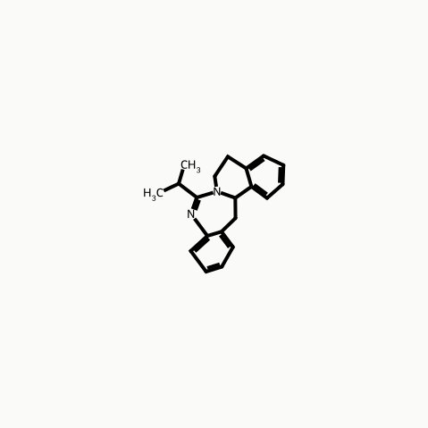 CC(C)C1=Nc2ccccc2CC2c3ccccc3CCN12